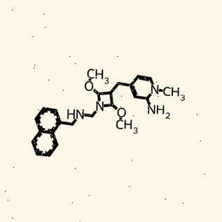 COC1C(CC2=CC(N)N(C)C=C2)C(OC)N1CNCc1cccc2ccccc12